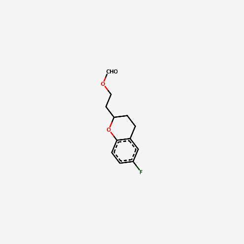 O=COCCC1CCc2cc(F)ccc2O1